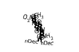 CCCCCCCCCCCCN(CCCCCCCCCCCC)S(=O)(=O)c1cc2c(cc1N)nc1c3ccc4c(=O)n5c6cc(S(C)(=O)=O)c([N+](=O)[O-])cc6nc5c5ccc(c(=O)n21)c3c45